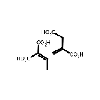 C=C(CC(=O)O)C(=O)O.CC=C(C(=O)O)C(=O)O